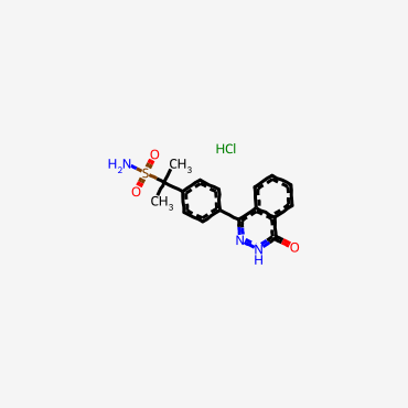 CC(C)(c1ccc(-c2n[nH]c(=O)c3ccccc23)cc1)S(N)(=O)=O.Cl